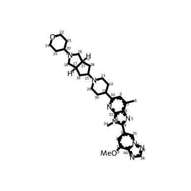 COc1cc(-c2nc3c(C)cc(C4CCN(C5C[C@@H]6CN(C7CCOCC7)C[C@@H]6C5)CC4)nc3n2C)cn2ncnc12